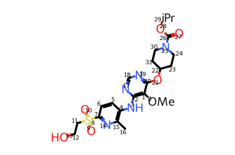 COc1c(Nc2ccc(S(=O)(=O)CCO)nc2C)ncnc1OC1CCN(C(=O)OC(C)C)CC1